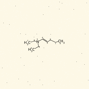 CCC/C=C/N(CC)CC